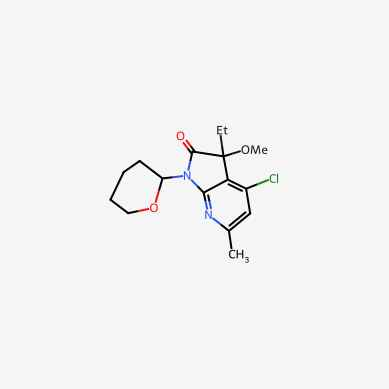 CCC1(OC)C(=O)N(C2CCCCO2)c2nc(C)cc(Cl)c21